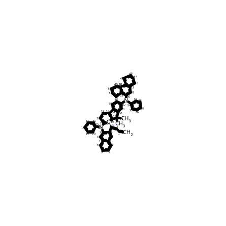 C=C/C=C\c1cc2ccccc2cc1N(c1ccccc1)c1ccc2c(c1)C(C)(C)c1cc(N(c3ccccc3)c3cc4ccccc4c4ccccc34)ccc1-2